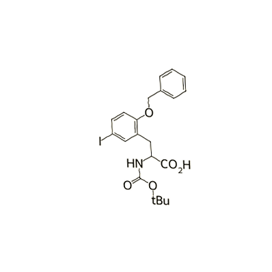 CC(C)(C)OC(=O)NC(Cc1cc(I)ccc1OCc1ccccc1)C(=O)O